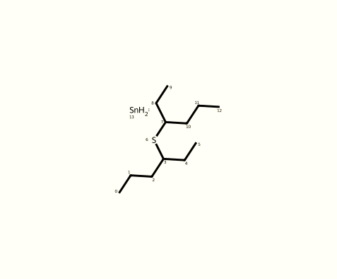 CCCC(CC)SC(CC)CCC.[SnH2]